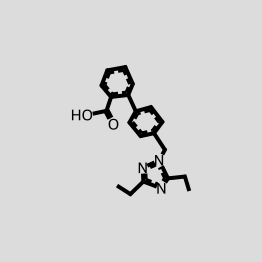 CCc1nc(CC)n(Cc2ccc(-c3ccccc3C(=O)O)cc2)n1